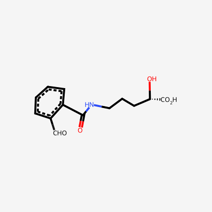 O=Cc1ccccc1C(=O)NCCC[C@H](O)C(=O)O